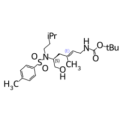 C/C(=C\CNC(=O)OC(C)(C)C)C[C@@H](CO)N(CCC(C)C)S(=O)(=O)c1ccc(C)cc1